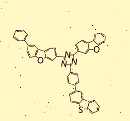 c1ccc(-c2ccc3oc4cc(-c5nc(-c6ccc(-c7ccc8sc9ccccc9c8c7)cc6)nc(-c6ccc7c(c6)oc6ccccc67)n5)ccc4c3c2)cc1